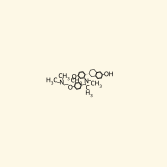 CCN(CC)CCOc1ccc(C(C)N(CC)c2cc(OC)ccc2[C@@H]2CCc3cc(O)ccc3C2)cc1